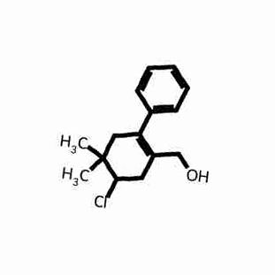 CC1(C)CC(c2ccccc2)=C(CO)CC1Cl